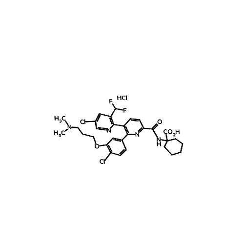 CN(C)CCCOc1cc(-c2nc(C(=O)NC3(C(=O)O)CCCCC3)ccc2-c2ncc(Cl)cc2C(F)F)ccc1Cl.Cl